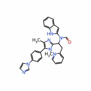 Cc1nc(C(Cc2ccccn2)N(C=O)c2cc3ccccc3[nH]2)n(C)c1-c1ccc(-n2ccnc2)cc1